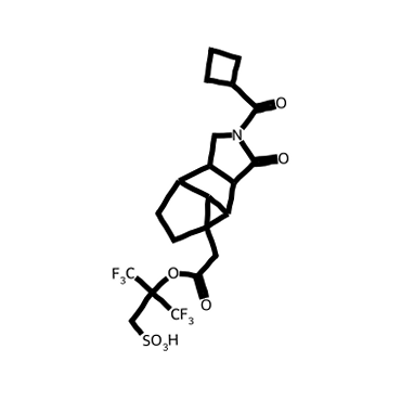 O=C(CC12CCC3C4CN(C(=O)C5CCC5)C(=O)C4C1C32)OC(CS(=O)(=O)O)(C(F)(F)F)C(F)(F)F